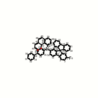 Fc1ccc2c(c1)C1(c3ccccc3-c3ccccc31)c1cc(N(c3ccc(-c4ccccc4)cc3)c3cccc4c3C3CC=CC=C3C=C4)ccc1-2